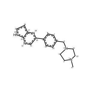 CN1CCN(Cc2ccc(-c3cnc4[nH]ccc4n3)cc2)CC1